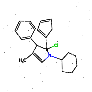 CC1=C[N](C2CCCCC2)[Ti]([Cl])([C]2=CC=CC2)[CH]1c1ccccc1